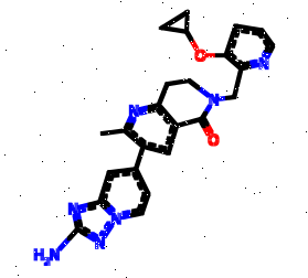 Cc1nc2c(cc1-c1ccn3nc(N)nc3c1)C(=O)N(Cc1ncccc1OC1CC1)CC2